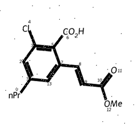 CCCc1cc(Cl)c(C(=O)O)c(C=CC(=O)OC)c1